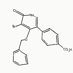 O=C(O)c1ccc(-c2c[nH]c(=O)c(Br)c2OCc2ccccc2)cc1